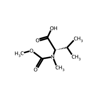 COC(=O)N(C)[C@H](C(=O)O)C(C)C